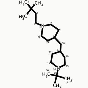 CC(C)(C)CCN1CCC(CC2CCN(C(C)(C)C)CC2)CC1